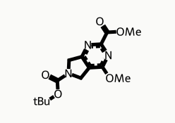 COC(=O)c1nc2c(c(OC)n1)CN(C(=O)OC(C)(C)C)C2